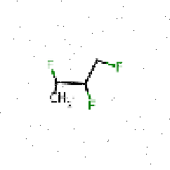 [CH2]C(F)C(F)CF